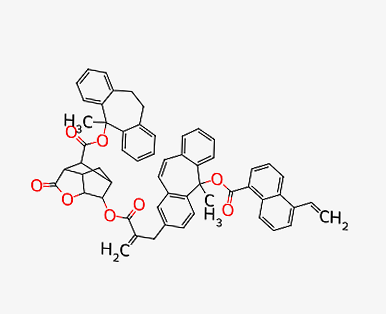 C=Cc1cccc2c(C(=O)OC3(C)c4ccccc4C=Cc4cc(CC(=C)C(=O)OC5C6CC7C5OC(=O)C7C6C(=O)OC5(C)c6ccccc6CCc6ccccc65)ccc43)cccc12